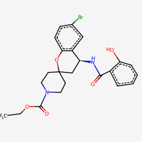 CCOC(=O)N1CCC2(CC1)C[C@H](NC(=O)c1ccccc1O)c1cc(Br)ccc1O2